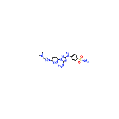 CN(C)CCNc1ccc(-n2nc(Nc3ccc(S(N)(=O)=O)cc3)nc2N)nn1